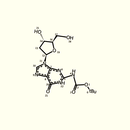 CC(C)(C)OC(=O)Nc1nc2c(ncn2[C@H]2C[C@H](O)[C@@H](CO)O2)c(=O)[nH]1